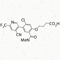 CNC(=O)c1cc(-c2cnc(C(F)(F)F)cc2C#N)c(Cl)cc1OCCCC(=O)O